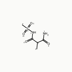 C[C](C(N)=O)C(=O)NS(C)(=O)=O